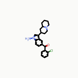 Nn1cc(C2CCN3CCCCC3C2)c2cc(C(=O)c3ccccc3Cl)ccc21